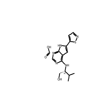 CC(C)[C@H](CO)Nc1ncnc2[nH]c(-c3ccns3)cc12.O=CO